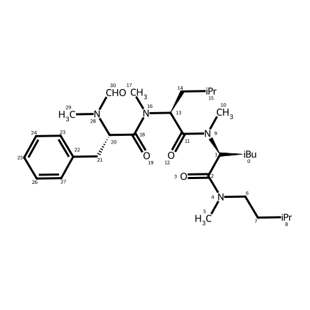 CC[C@H](C)[C@@H](C(=O)N(C)CCC(C)C)N(C)C(=O)[C@H](CC(C)C)N(C)C(=O)[C@H](Cc1ccccc1)N(C)C=O